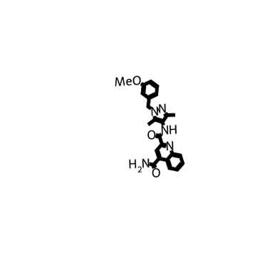 COc1cccc(Cn2nc(C)c(NC(=O)c3cc(C(N)=O)c4ccccc4n3)c2C)c1